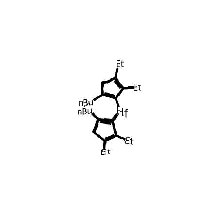 CCCCC1=[C]([Hf][C]2=C(CCCC)CC(CC)=C2CC)C(CC)=C(CC)C1